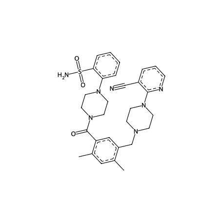 Cc1cc(C)c(C(=O)N2CCN(c3ccccc3S(N)(=O)=O)CC2)cc1CN1CCN(c2ncccc2C#N)CC1